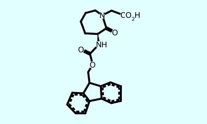 O=C(O)CN1CCCC[C@H](NC(=O)OCC2c3ccccc3-c3ccccc32)C1=O